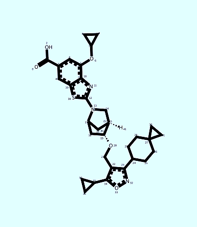 O=C(O)c1cc(OC2CC2)c2nc(N3C[C@@H]4CC3C[C@H]4OCc3c(C4CCC5(CC4)CC5)noc3C3CC3)sc2c1